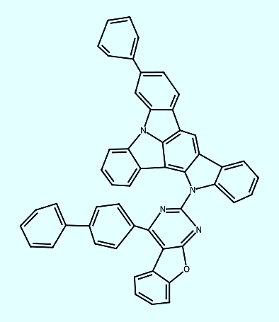 c1ccc(-c2ccc(-c3nc(-n4c5ccccc5c5cc6c7ccc(-c8ccccc8)cc7n7c8ccccc8c(c54)c67)nc4oc5ccccc5c34)cc2)cc1